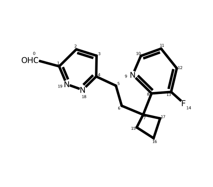 O=Cc1ccc(CCC2(c3ncccc3F)CCC2)nn1